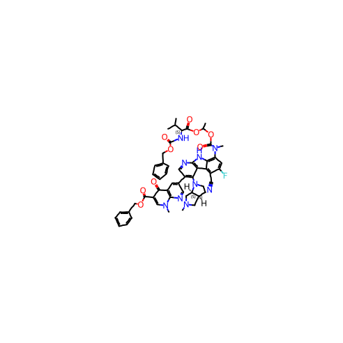 CC(OC(=O)[C@@H](NC(=O)OCc1ccccc1)C(C)C)OC(=O)N(C)c1cc(F)c(C#N)c2c1[nH]c1ncc(-c3cnc4c(c3)c(=O)c(C(=O)OCc3ccccc3)cn4C)c(N3CC[C@H]4CN(C)C[C@H]43)c12